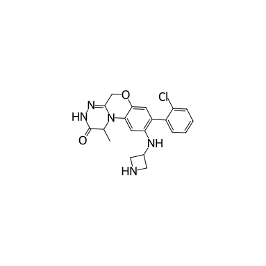 CC1C(=O)NN=C2COc3cc(-c4ccccc4Cl)c(NC4CNC4)cc3N21